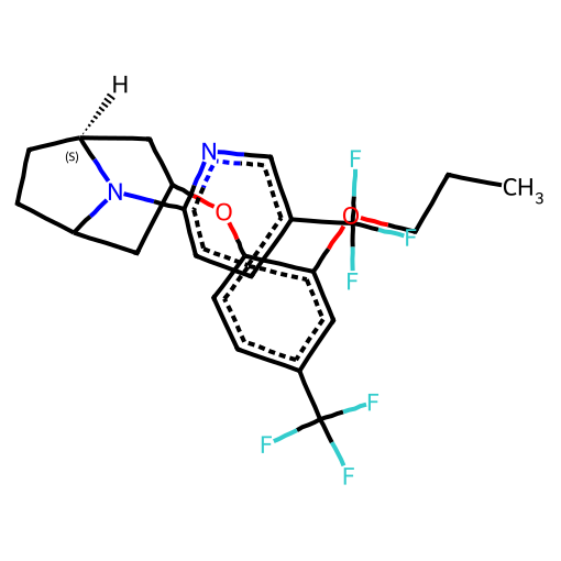 CCCOc1cc(C(F)(F)F)ccc1OC1CC2CC[C@@H](C1)N2c1ccc(C(F)(F)F)cn1